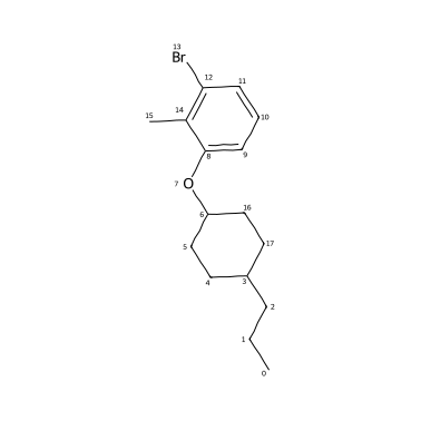 CCCC1CCC(Oc2cccc(Br)c2C)CC1